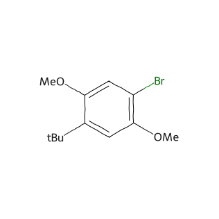 COc1cc(C(C)(C)C)c(OC)cc1Br